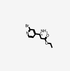 CCOC(=O)C[C@@H](N)c1ccnc(Br)c1